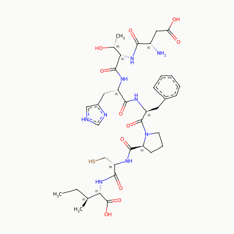 CC[C@H](C)[C@H](NC(=O)[C@H](CS)NC(=O)[C@@H]1CCCN1C(=O)[C@H](Cc1ccccc1)NC(=O)[C@H](Cc1c[nH]cn1)NC(=O)[C@@H](NC(=O)[C@@H](N)CC(=O)O)[C@@H](C)O)C(=O)O